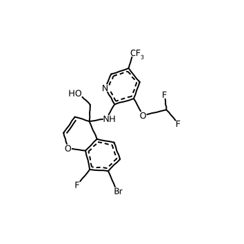 OCC1(Nc2ncc(C(F)(F)F)cc2OC(F)F)C=COc2c1ccc(Br)c2F